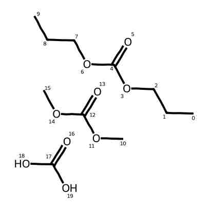 CCCOC(=O)OCCC.COC(=O)OC.O=C(O)O